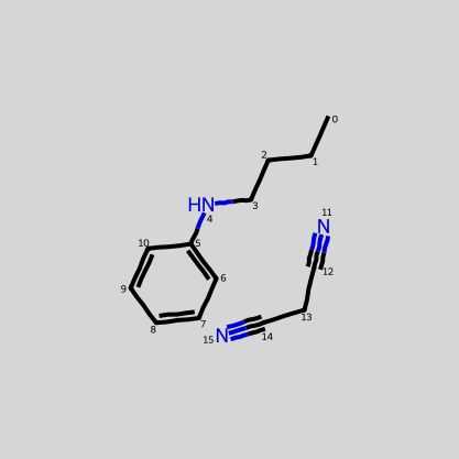 CCCCNc1ccccc1.N#CCC#N